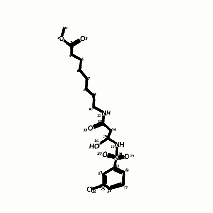 COC(=O)CCCCCCCNC(=O)CC(O)NS(=O)(=O)c1cccc(Cl)c1